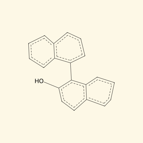 Oc1ccc2ccccc2c1-c1cccc2ccccc12